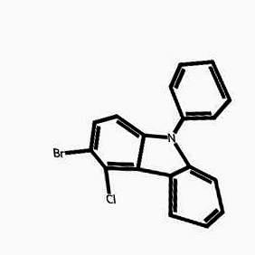 Clc1c(Br)ccc2c1c1ccccc1n2-c1ccccc1